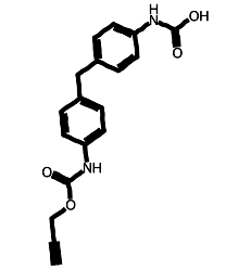 C#CCOC(=O)Nc1ccc(Cc2ccc(NC(=O)O)cc2)cc1